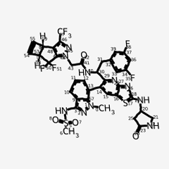 Cn1nc(NS(C)(=O)=O)c2cccc(-c3cc4sc(NC5CNC(=O)C5)nc4nc3C(Cc3cc(F)cc(F)c3)NC(=O)Cn3nc(C(F)(F)F)c4c3C(F)(F)[C@@H]3C#C[C@H]43)c21